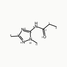 CCC(=O)Nc1nc(C)nn1C